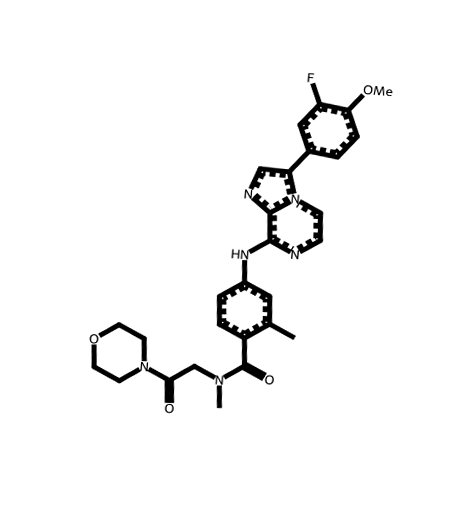 COc1ccc(-c2cnc3c(Nc4ccc(C(=O)N(C)CC(=O)N5CCOCC5)c(C)c4)nccn23)cc1F